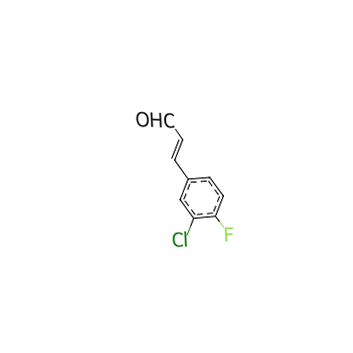 O=CC=Cc1ccc(F)c(Cl)c1